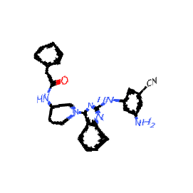 N#Cc1cc(N)cc(Nc2nc(N3CCC(NC(=O)Cc4ccccc4)C3)c3ccccc3n2)c1